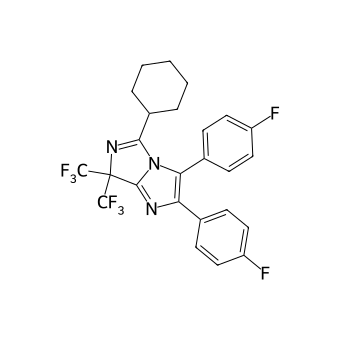 Fc1ccc(-c2nc3n(c2-c2ccc(F)cc2)C(C2CCCCC2)=NC3(C(F)(F)F)C(F)(F)F)cc1